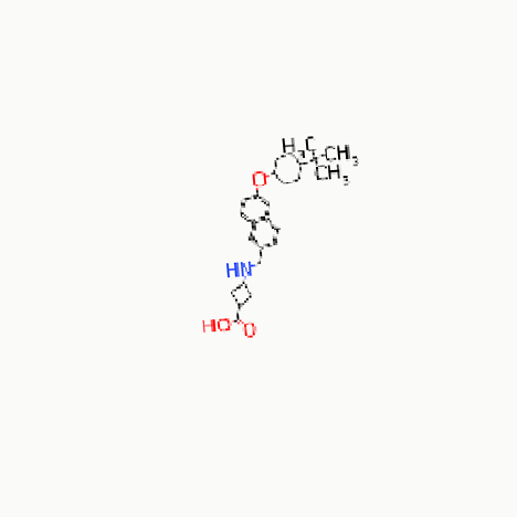 CC(C)(C)C1CCC(Oc2ccc3cc(CNC4CC(C(=O)O)C4)ccc3c2)CC1